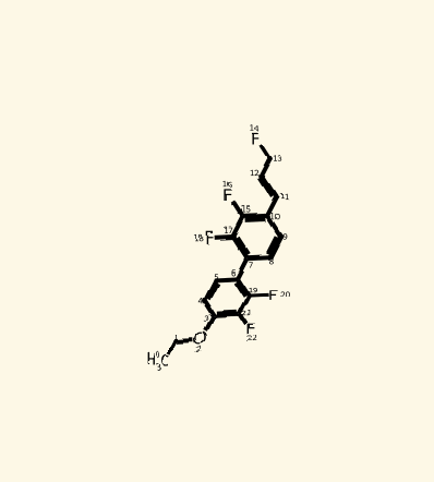 CCOc1ccc(-c2ccc(/C=C/CF)c(F)c2F)c(F)c1F